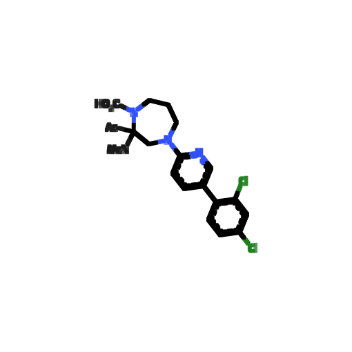 CNC1(C(C)=O)CN(c2ccc(-c3ccc(Cl)cc3Cl)cn2)CCCN1C(=O)O